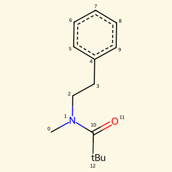 CN(CCc1ccccc1)C(=O)C(C)(C)C